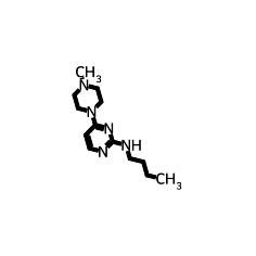 CCCCNc1nccc(N2CCN(C)CC2)n1